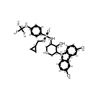 O=S(=NCC1CC1)(NC1COCC(n2c3ccc(Cl)cc3c3cc(Cl)ccc32)C1O)c1ccc(OC(F)(F)F)cc1